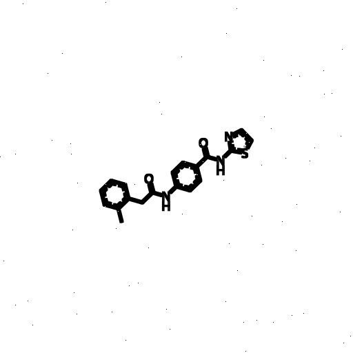 Cc1ccccc1CC(=O)Nc1ccc(C(=O)Nc2nccs2)cc1